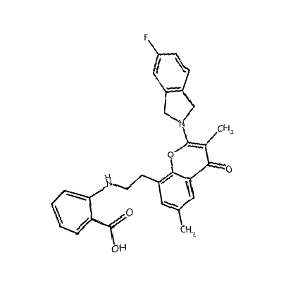 Cc1cc(CCNc2ccccc2C(=O)O)c2oc(N3Cc4ccc(F)cc4C3)c(C)c(=O)c2c1